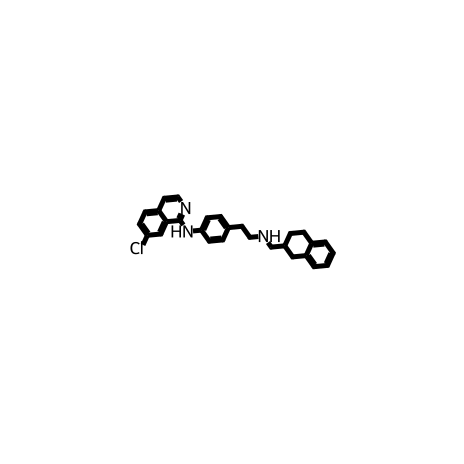 Clc1ccc2ccnc(Nc3ccc(CCNCC4CCc5ccccc5C4)cc3)c2c1